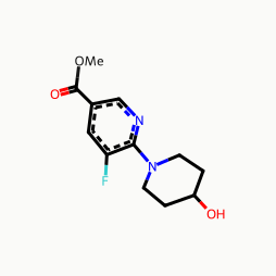 COC(=O)c1cnc(N2CCC(O)CC2)c(F)c1